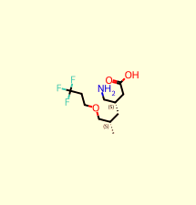 C[C@H](COCCC(F)(F)F)C[C@H](CN)CC(=O)O